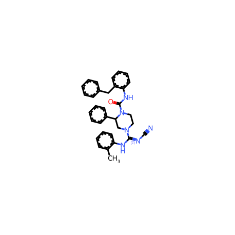 Cc1ccccc1N/C(=N/C#N)N1CCN(C(=O)Nc2ccccc2Cc2ccccc2)C(c2ccccc2)C1